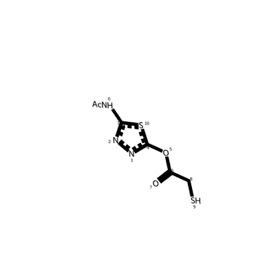 CC(=O)Nc1nnc(OC(=O)CS)s1